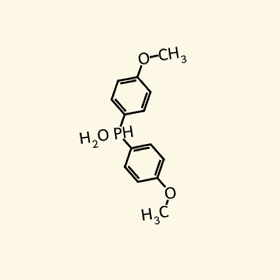 COc1ccc(Pc2ccc(OC)cc2)cc1.O